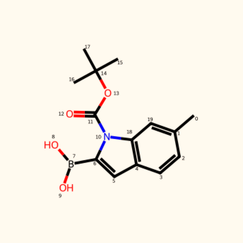 Cc1ccc2cc(B(O)O)n(C(=O)OC(C)(C)C)c2c1